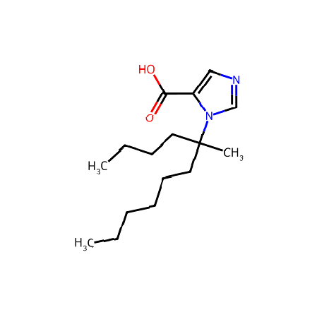 CCCCCCC(C)(CCCC)n1cncc1C(=O)O